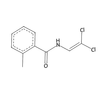 Cc1ccccc1C(=O)NC=C(Cl)Cl